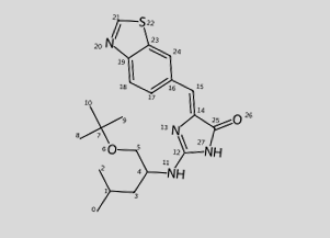 CC(C)CC(COC(C)(C)C)NC1=N/C(=C\c2ccc3ncsc3c2)C(=O)N1